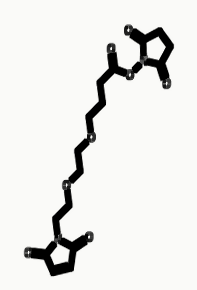 O=C(CCCOCCOCCN1C(=O)C=CC1=O)ON1C(=O)CCC1=O